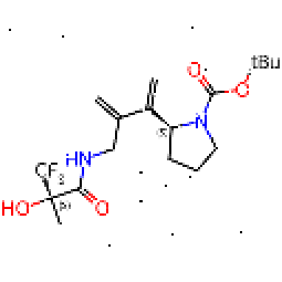 C=C(CNC(=O)[C@](C)(O)C(F)(F)F)C(=C)[C@@H]1CCCN1C(=O)OC(C)(C)C